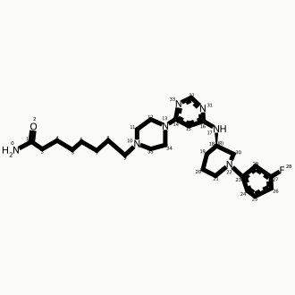 NC(=O)CCCCCCCN1CCN(c2cc(N[C@@H]3CCCN(c4cccc(F)c4)C3)ncn2)CC1